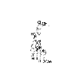 COC1=CC(=O)c2c(O)c3c(c(O)c2C1=O)C(=O)[C@]1(CCc2cc4cc(C=NNC(=O)CN5CCN(C)C(Cl)C5)[nH]c(=O)c4c(O)c21)C3=O